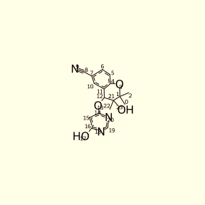 CC1(C)Oc2ccc(C#N)cc2C(Oc2cc(O)ncn2)C1(C)O